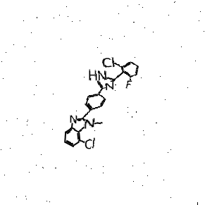 Cn1c(-c2ccc(-c3c[nH]c(-c4c(F)cccc4Cl)n3)cc2)nc2cccc(Cl)c21